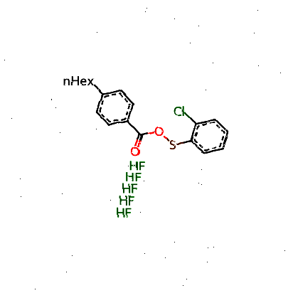 CCCCCCc1ccc(C(=O)OSc2ccccc2Cl)cc1.F.F.F.F.F